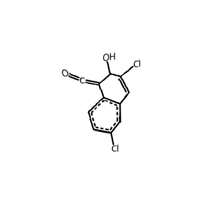 O=C=C1c2ccc(Cl)cc2C=C(Cl)C1O